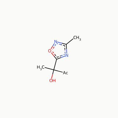 CC(=O)C(C)(O)c1nc(C)no1